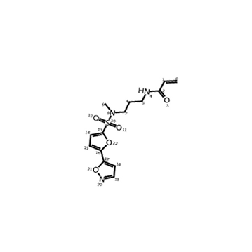 C=CC(=O)NCCCN(C)S(=O)(=O)c1ccc(-c2ccno2)o1